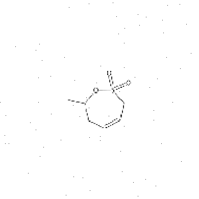 CC1CC=CCS(=O)(=O)O1